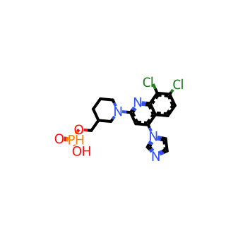 O=[PH](O)OCC1CCCN(c2cc(-n3ccnc3)c3ccc(Cl)c(Cl)c3n2)C1